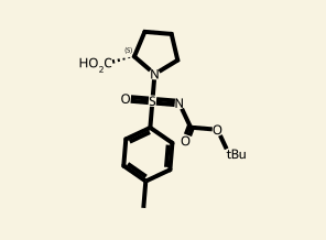 Cc1ccc(S(=O)(=NC(=O)OC(C)(C)C)N2CCC[C@H]2C(=O)O)cc1